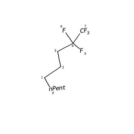 [CH2]CCCCCCCC(F)(F)C(F)(F)F